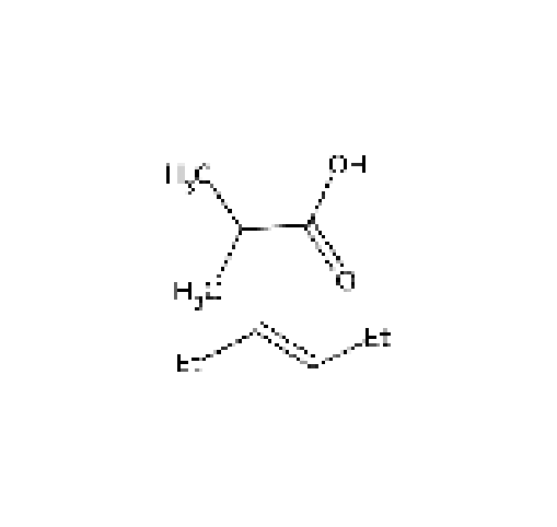 CC(C)C(=O)O.CCC=CCC